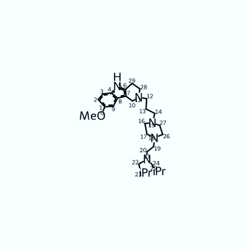 COc1ccc2[nH]c3c(c2c1)CN(CCCN1CCN(CCN(CC(C)C)CC(C)C)CC1)CC3